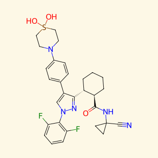 N#CC1(NC(=O)[C@@H]2CCCC[C@H]2c2nn(-c3c(F)cccc3F)cc2-c2ccc(N3CCS(O)(O)CC3)cc2)CC1